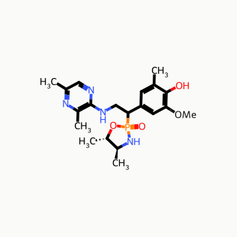 COc1cc(C(CNc2ncc(C)nc2C)P2(=O)N[C@@H](C)[C@H](C)O2)cc(C)c1O